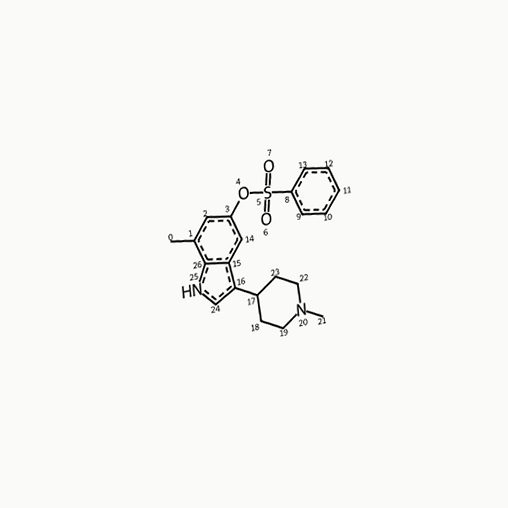 Cc1cc(OS(=O)(=O)c2ccccc2)cc2c(C3CCN(C)CC3)c[nH]c12